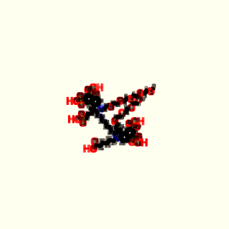 COCCOCCOCCOCCOCC[N+]1=C(/C=C/C=C/C=C/C=C2/N(CCCCCC(=O)O)c3ccc4c(S(=O)(=O)O)cc(S(=O)(=O)O)cc4c3C2(C)CCOCCOCCOCCOC)C(C)(CCCS(=O)(=O)O)c2c1ccc1c(S(=O)(=O)O)cc(S(=O)(=O)O)cc21